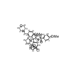 COc1ccc(S(=O)(=O)N2C(=O)C(c3cc(CN4CCOCC4)ccc3OC)(N3CCCC3c3ncco3)c3ccc(Cl)cc32)cc1